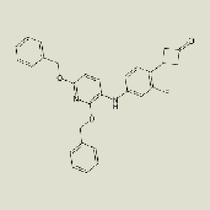 O=C1CC(c2ccc(Nc3ccc(OCc4ccccc4)nc3OCc3ccccc3)cc2F)C1